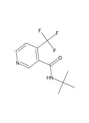 CC(C)(C)NC(=O)c1cn[c]cc1C(F)(F)F